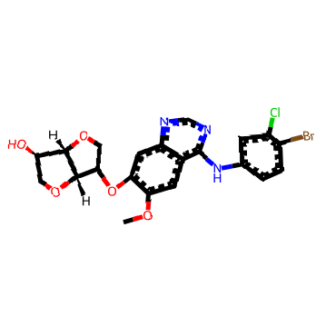 COc1cc2c(Nc3ccc(Br)c(Cl)c3)ncnc2cc1OC1CO[C@H]2[C@H](O)CO[C@@H]12